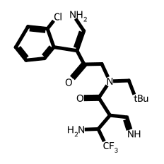 CC(C)(C)CN(CC(=O)/C(=C/N)c1ccccc1Cl)C(=O)C(C=N)C(N)C(F)(F)F